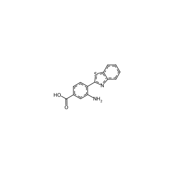 Nc1cc(C(=O)O)ccc1-c1nc2ccccc2s1